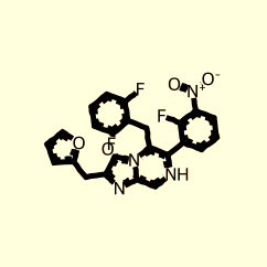 O=c1c(Cc2ccco2)nc2c[nH]c(-c3cccc([N+](=O)[O-])c3F)c(Cc3c(F)cccc3F)n1-2